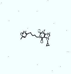 Cc1cc(CCCCn2c(=O)c3c(ncn3C3CC3)n(C)c2=O)no1